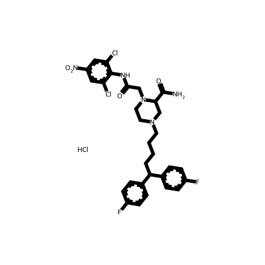 Cl.NC(=O)C1CN(CCCCC(c2ccc(F)cc2)c2ccc(F)cc2)CCN1CC(=O)Nc1c(Cl)cc([N+](=O)[O-])cc1Cl